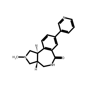 CN1C[C@H]2CNC(=O)c3cc(-c4cccnc4)ccc3[C@@H]2C1